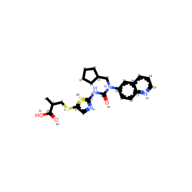 CC(CSc1cnc(NC(=O)N(CC2CCCC2)c2ccc3ncccc3c2)s1)C(=O)O